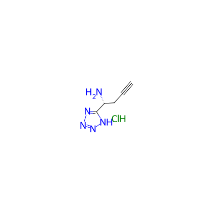 C#CC[C@@H](N)c1nnn[nH]1.Cl